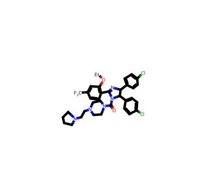 CCOc1cc(C(F)(F)F)ccc1C1=NC(c2ccc(Cl)cc2)C(c2ccc(Cl)cc2)N1C(=O)N1CCN(CCN2CCCC2)CC1